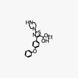 CCOC(O)c1sc(N2CCNCC2)nc1-c1ccc(Oc2ccccc2)cc1